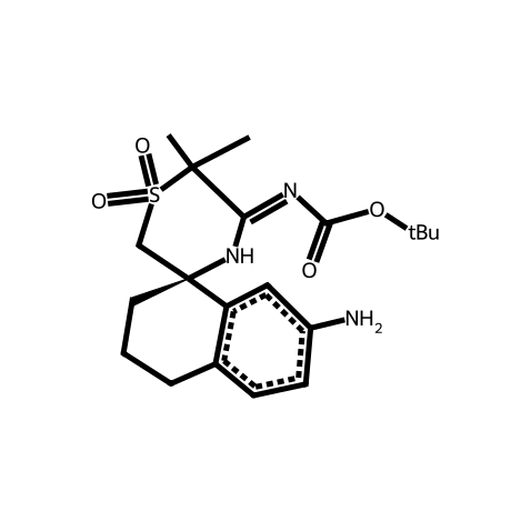 CC(C)(C)OC(=O)/N=C1\N[C@@]2(CCCc3ccc(N)cc32)CS(=O)(=O)C1(C)C